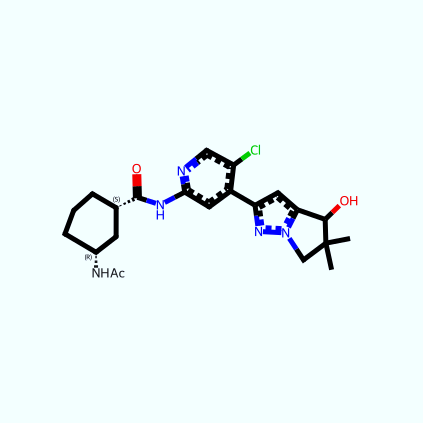 CC(=O)N[C@@H]1CCC[C@H](C(=O)Nc2cc(-c3cc4n(n3)CC(C)(C)C4O)c(Cl)cn2)C1